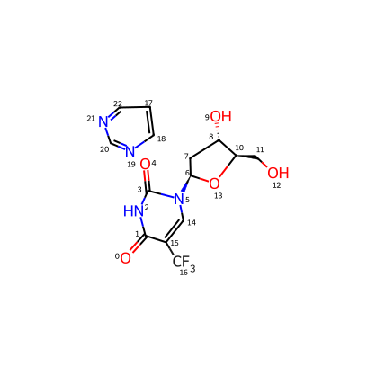 O=c1[nH]c(=O)n([C@H]2C[C@H](O)[C@@H](CO)O2)cc1C(F)(F)F.c1cncnc1